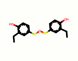 CCc1cc(SOSc2ccc(O)c(CC)c2)ccc1O